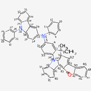 CC1(C)c2cc(N(c3ccccc3)c3ccc4c(c3)c3ccccc3n4-c3ccccc3)ccc2-n2c3ccccc3c3c4oc5ccccc5c4cc1c32